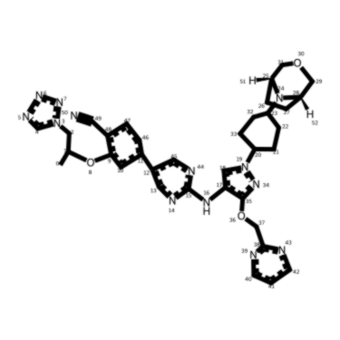 CC(Cn1cnnn1)Oc1cc(-c2cnc(Nc3cn(C4CCC(N5[C@@H]6CC[C@H]5COC6)CC4)nc3OCc3ncccn3)nc2)ccc1C#N